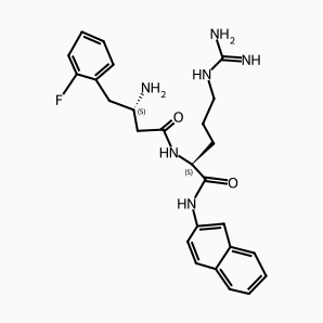 N=C(N)NCCC[C@H](NC(=O)C[C@@H](N)Cc1ccccc1F)C(=O)Nc1ccc2ccccc2c1